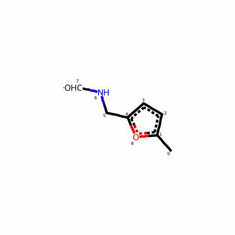 Cc1ccc(CN[C]=O)o1